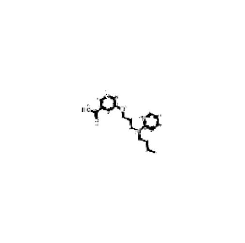 CCCCN(CCCOc1cncc(C(=O)O)c1)c1ccccn1